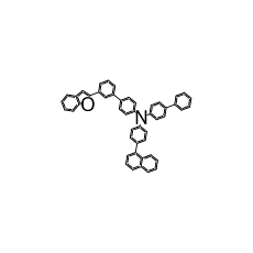 c1ccc(-c2ccc(N(c3ccc(-c4cccc(-c5cc6ccccc6o5)c4)cc3)c3ccc(-c4cccc5ccccc45)cc3)cc2)cc1